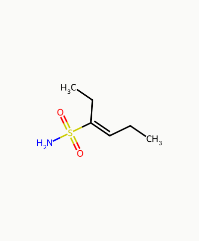 CC/C=C(\CC)S(N)(=O)=O